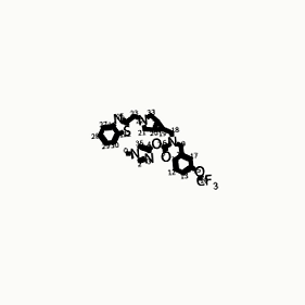 Cn1cnc(OC(=O)N(Cc2cccc(OC(F)(F)F)c2)CC2C3CN(Cc4nc5ccccc5s4)CC32)c1